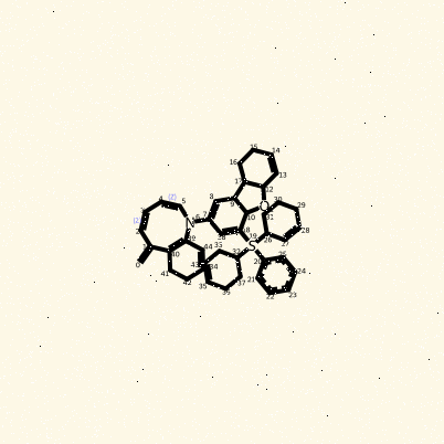 C=C1/C=C\C=C/N(C2=CC3C(OC4C=CCCC43)C(S(c3ccccc3)(C3C=CCCC3)C3CC=CCC3)=C2)C2=C1CCC=C2